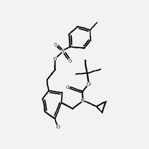 Cc1ccc(S(=O)(=O)OCCc2ccc(Cl)c(CN(C(=O)OC(C)(C)C)C3CC3)c2)cc1